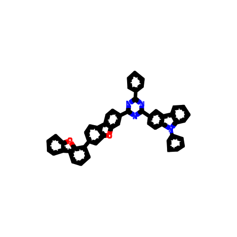 c1ccc(-c2nc(-c3ccc4c(c3)oc3cc(-c5cccc6c5oc5ccccc56)ccc34)nc(-c3ccc4c(c3)c3ccccc3n4-c3ccccc3)n2)cc1